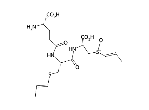 C/C=C/SC[C@H](NC(=O)CC[C@H](N)C(=O)O)C(=O)N[C@@H](C[S+]([O-])/C=C/C)C(=O)O